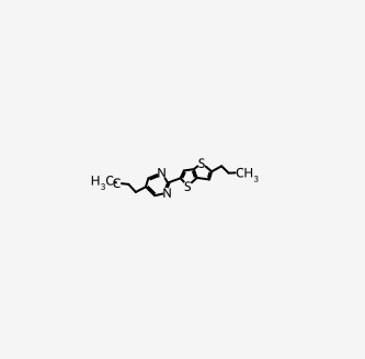 CCCCc1cnc(-c2cc3sc(CCC)cc3s2)nc1